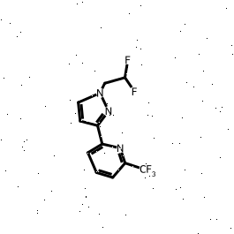 FC(F)Cn1ccc(-c2cccc(C(F)(F)F)n2)n1